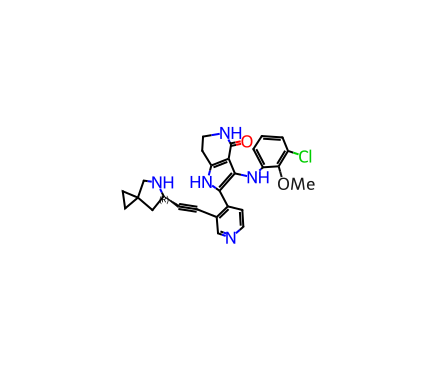 COc1c(Cl)cccc1Nc1c(-c2ccncc2C#C[C@H]2CC3(CC3)CN2)[nH]c2c1C(=O)NCC2